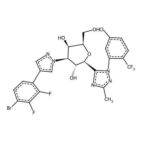 Cc1nc([C@@H]2O[C@H](CO)[C@H](O)[C@H](n3cc(-c4ccc(Br)c(F)c4F)cn3)[C@H]2O)n(-c2cc(Cl)ccc2C(F)(F)F)n1